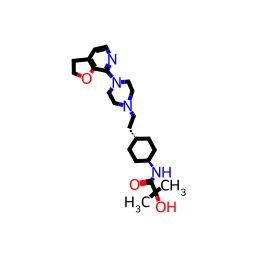 CC(C)(O)C(=O)N[C@H]1CC[C@H](CCN2CCN(c3nccc4c3OCC4)CC2)CC1